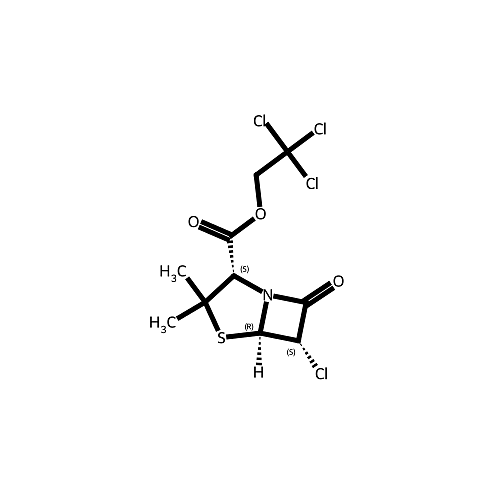 CC1(C)S[C@@H]2[C@@H](Cl)C(=O)N2[C@H]1C(=O)OCC(Cl)(Cl)Cl